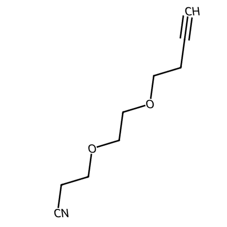 C#CCCOCCOCCC#N